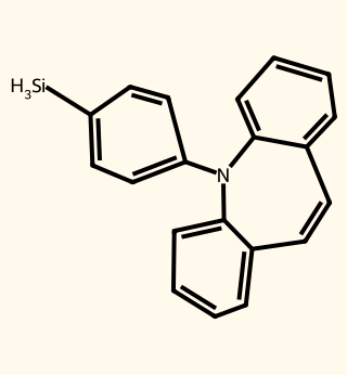 [SiH3]c1ccc(N2c3ccccc3C=Cc3ccccc32)cc1